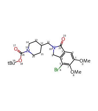 COc1cc2c(c(Br)c1OC)CN(CC1CCN(C(=O)OC(C)(C)C)CC1)C2=O